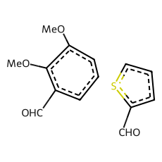 COc1cccc(C=O)c1OC.O=Cc1cccs1